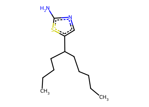 CCCCCC(CCCC)c1cnc(N)s1